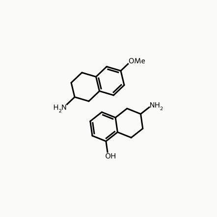 COc1ccc2c(c1)CCC(N)C2.NC1CCc2c(O)cccc2C1